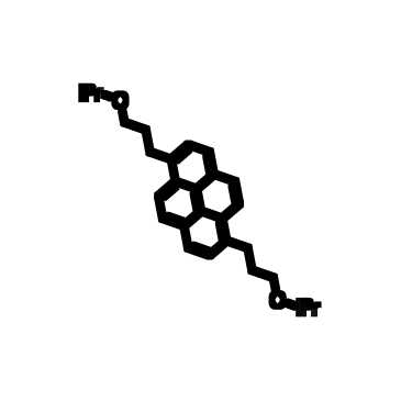 CC(C)OCCCc1ccc2ccc3c(CCCOC(C)C)ccc4ccc1c2c43